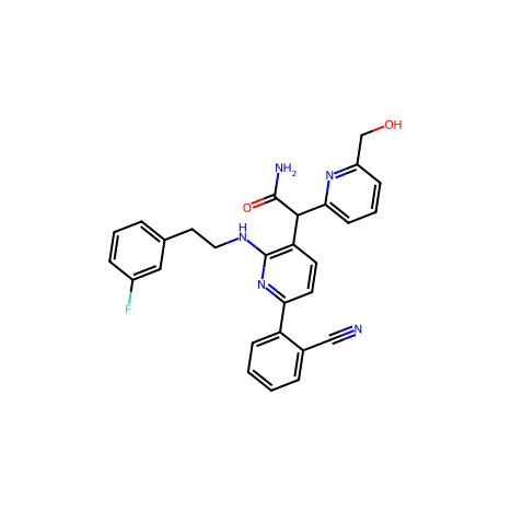 N#Cc1ccccc1-c1ccc(C(C(N)=O)c2cccc(CO)n2)c(NCCc2cccc(F)c2)n1